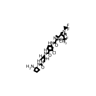 Cn1c(-c2cn(C3CC3(F)F)nc2C(F)(F)F)cnc1C(=O)Nc1ccc(C(=O)NC2[C@H]3CN(C(=O)N[C@@H]4CCC[C@@H]4N)C[C@@H]23)c(Cl)c1